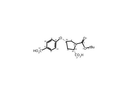 CC(C)(C)OC(=O)N1C[C@@H](Oc2ccc(C(=O)O)cc2)C[C@H]1C(=O)O